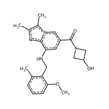 COc1cccc(C)c1CNc1cc(C(=O)N2CC(O)C2)cn2c(C)c(C)nc12